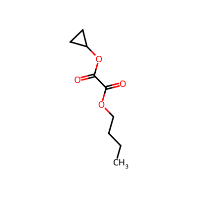 CCCCOC(=O)C(=O)OC1CC1